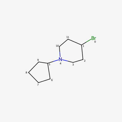 BrC1CCN(C2CCCC2)CC1